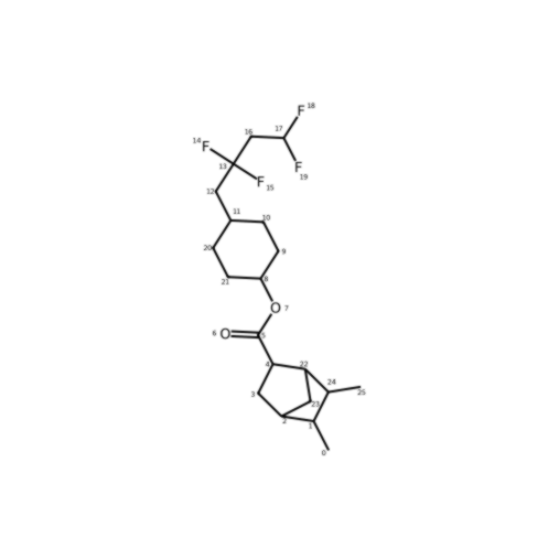 CC1C2CC(C(=O)OC3CCC(CC(F)(F)CC(F)F)CC3)C(C2)C1C